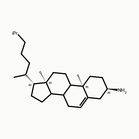 CC(C)CCCC(C)[C@H]1CCC2C3CC=C4C[C@H](N)CC[C@]4(C)C3CC[C@@]21C